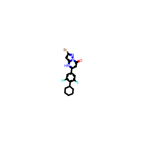 O=c1cc(-c2cc(F)c(C3CCCCC3)c(F)c2)[nH]c2cc(Br)nn12